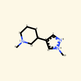 CN1CCCC(c2cnn(C)c2)C1